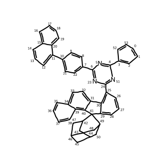 c1ccc(-c2nc(-c3ccc(-c4cccc5ccccc45)cc3)nc(-c3cccc4c3-c3ccc5ccccc5c3C43C4CC5CC(C4)CC3C5)n2)cc1